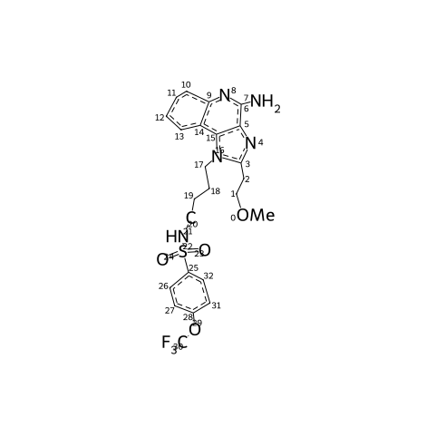 COCCc1nc2c(N)nc3ccccc3c2n1CCCCNS(=O)(=O)c1ccc(OC(F)(F)F)cc1